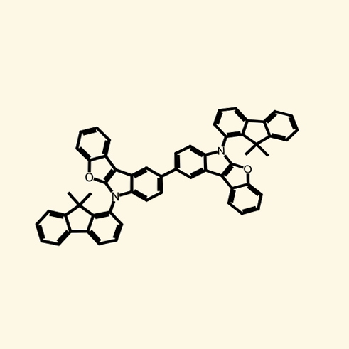 CC1(C)c2ccccc2-c2cccc(-n3c4ccc(-c5ccc6c(c5)c5c7ccccc7oc5n6-c5cccc6c5C(C)(C)c5ccccc5-6)cc4c4c5ccccc5oc43)c21